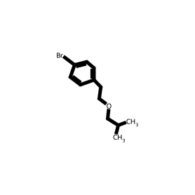 CC(C)COCCc1ccc(Br)cc1